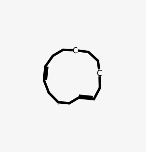 [CH]1C/C=C\CCCCCCC/C=C/C1